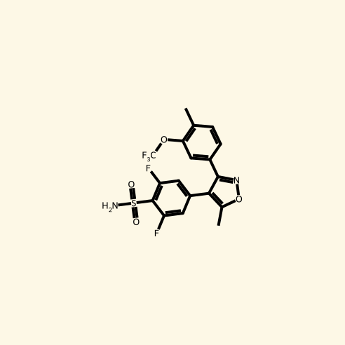 Cc1ccc(-c2noc(C)c2-c2cc(F)c(S(N)(=O)=O)c(F)c2)cc1OC(F)(F)F